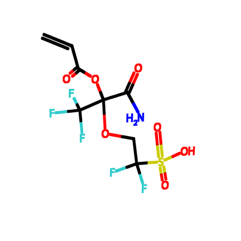 C=CC(=O)OC(OCC(F)(F)S(=O)(=O)O)(C(N)=O)C(F)(F)F